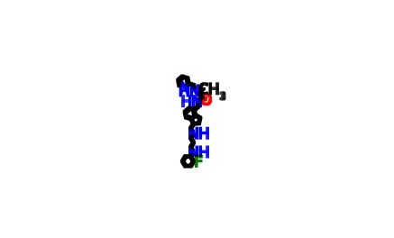 C[C@H](NCc1ccccn1)C(=O)NCc1cccc2c1CCC2CNCCCNC1CCCC[C@H]1F